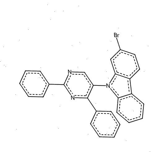 Brc1ccc2c3ccccc3n(-c3cnc(-c4ccccc4)nc3-c3ccccc3)c2c1